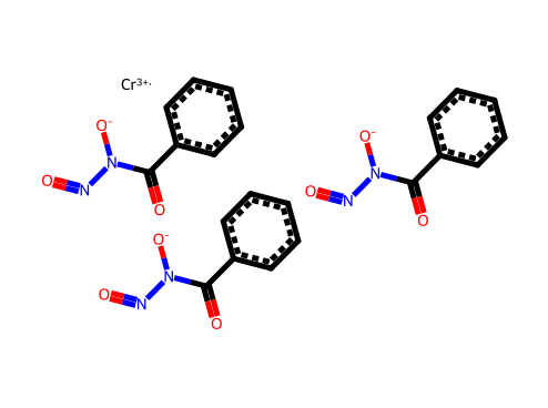 O=NN([O-])C(=O)c1ccccc1.O=NN([O-])C(=O)c1ccccc1.O=NN([O-])C(=O)c1ccccc1.[Cr+3]